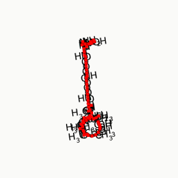 CO/N=C1/C[C@@H]([C@H](N)C[C@@H]2CC[C@H](n3cc(CCCC(=O)NCCOCCOCCOCCC(=O)NCCOCCOCCOCCC(=O)NCCCCn4nc(-c5cc6cc(O)ccc6[nH]5)c5c(N)ncnc54)nn3)[C@H](OC)C2)OC(=O)[C@@H]2CCCCN2C(=O)C(=O)[C@]2(O)O[C@@H](CC[C@H]2C)C[C@H](OC)/C(C)=C/C=C/C=C/[C@@H](C)C[C@@H](C)C(=O)[C@H](O)[C@H](O)/C(C)=C/[C@H]1C